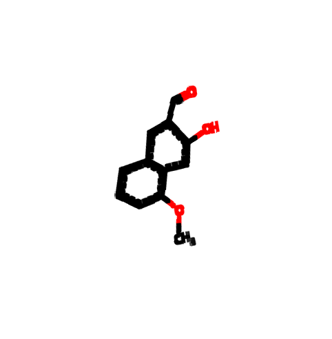 COc1cccc2cc(C=O)c(O)cc12